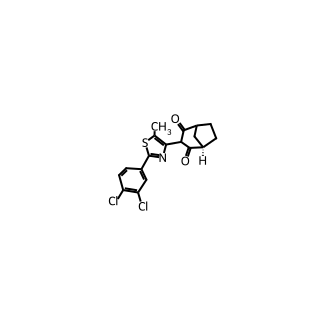 Cc1sc(-c2ccc(Cl)c(Cl)c2)nc1C1C(=O)C2CC[C@H](C2)C1=O